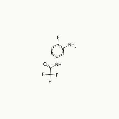 Nc1cc(NC(=O)C(F)(F)F)ccc1F